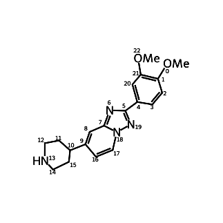 COc1ccc(-c2nc3cc(C4CCNCC4)ccn3n2)cc1OC